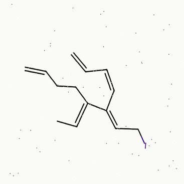 C=C\C=C/C(=C\CI)C(=C/C)/CCC=C